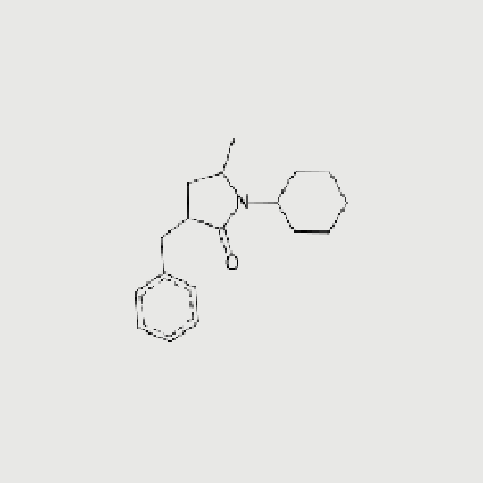 CC1CC(Cc2ccccc2)C(=O)N1C1CCCCC1